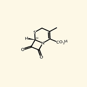 CC1=C(C(=O)O)N2C(=O)C(=O)[C@@H]2SC1